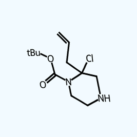 C=CCC1(Cl)CNCCN1C(=O)OC(C)(C)C